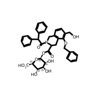 O=C(O[C@@H]1O[C@H](C(=O)O)[C@@H](O)[C@H](O)[C@H]1O)C1Cc2c(ccc(CO)c2OCc2ccccc2)CN1C(=O)C(c1ccccc1)c1ccccc1